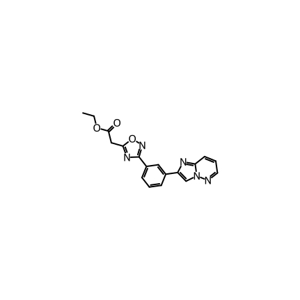 CCOC(=O)Cc1nc(-c2cccc(-c3cn4ncccc4n3)c2)no1